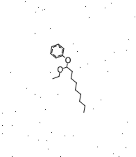 CCCCCCCCC(OCC)Oc1ccccc1